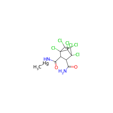 [CH3][Hg][NH]C(=O)C1C(C(N)=O)C2(Cl)C(Cl)=C(Cl)C1(Cl)C2(Cl)Cl